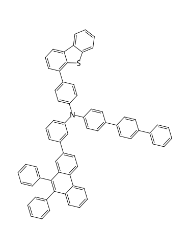 c1ccc(-c2ccc(-c3ccc(N(c4ccc(-c5cccc6c5sc5ccccc56)cc4)c4cccc(-c5ccc6c(c5)c(-c5ccccc5)c(-c5ccccc5)c5ccccc56)c4)cc3)cc2)cc1